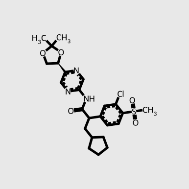 CC1(C)OC[C@H](c2cnc(NC(=O)C(CC3CCCC3)c3ccc(S(C)(=O)=O)c(Cl)c3)cn2)O1